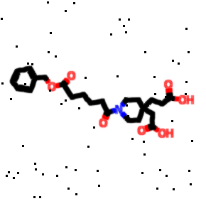 O=C(O)CCC1(CC(=O)O)CCN(C(=O)CCCCC(=O)OCc2ccccc2)CC1